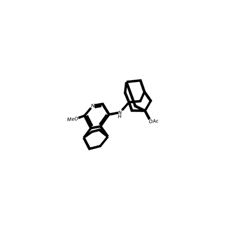 COc1ncc(NC23CC4CC(C2)CC(OC(C)=O)(C4)C3)c2c1C1CCC2CC1